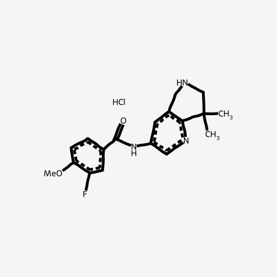 COc1ccc(C(=O)Nc2cnc3c(c2)CNCC3(C)C)cc1F.Cl